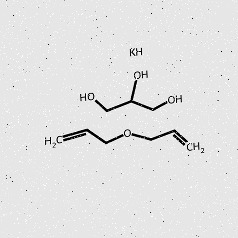 C=CCOCC=C.OCC(O)CO.[KH]